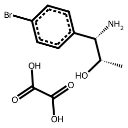 C[C@H](O)[C@@H](N)c1ccc(Br)cc1.O=C(O)C(=O)O